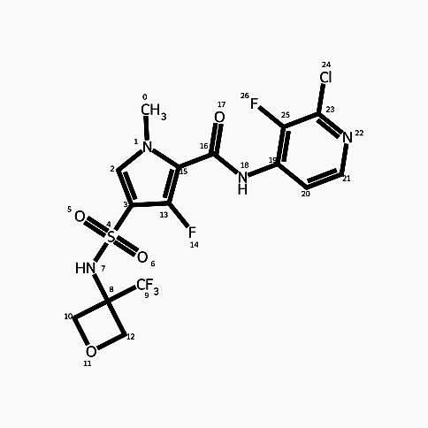 Cn1cc(S(=O)(=O)NC2(C(F)(F)F)COC2)c(F)c1C(=O)Nc1ccnc(Cl)c1F